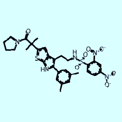 Cc1cc(C)cc(-c2[nH]c3sc(C(C)(C)C(=O)N4CCCC4)cc3c2CCNS(=O)(=O)c2ccc([N+](=O)[O-])cc2[N+](=O)[O-])c1